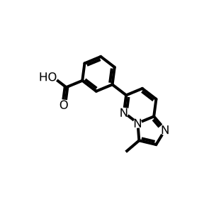 Cc1cnc2ccc(-c3cccc(C(=O)O)c3)nn12